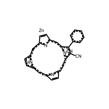 N#Cc1c(-c2ccccc2)c2cc3nc(cc4ccc(cc5nc(cc1n2C#N)C=C5)[nH]4)C=C3.[Zn]